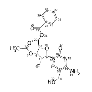 CC(=O)O[C@H]1[C@@H](F)[C@H](n2cc(CO)c(N)nc2=O)O[C@@H]1COC(=O)c1ccccc1